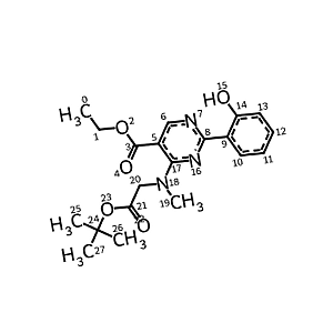 CCOC(=O)c1cnc(-c2ccccc2O)nc1N(C)CC(=O)OC(C)(C)C